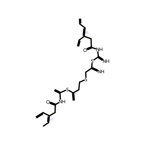 C=C/C=C(\C=C)CC(=O)NC(=N)SC(=N)CSCCC(=C)SC(=C)NC(=O)C/C(C=C)=C/C